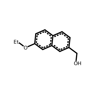 CCOc1ccc2ccc(CO)cc2c1